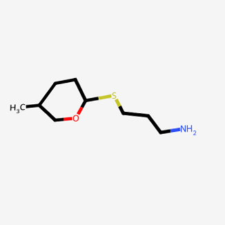 CC1CCC(SCCCN)OC1